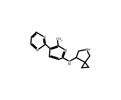 Cc1nc(NC2CNCC23CC3)ccc1-c1ncccn1